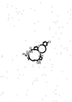 CC(C)C[C@H]1C(C)(C)C/C=C/[C@H](O)[C@@H]2CC[C@H]2CN2CCCCc3cc(Cl)ccc3COc3ccc(cc32)C(=O)NS1(=O)=O